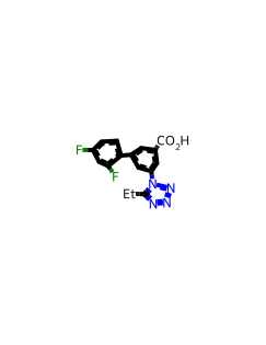 CCc1nnnn1-c1cc(C(=O)O)cc(-c2ccc(F)cc2F)c1